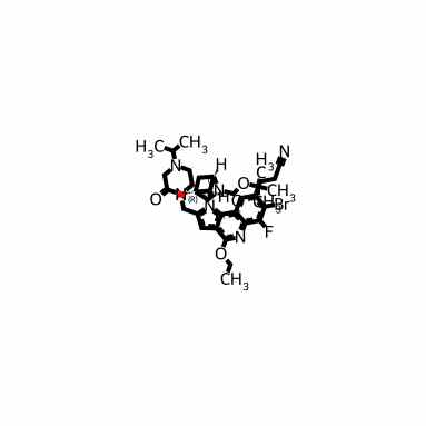 CCOc1nc2c(F)c(Br)c(CCC#N)cc2c2c1cc(CN1CCN(C(C)C)CC1=O)n2[C@H]1[C@@H]2C[C@H]1N(C(=O)OC(C)(C)C)C2